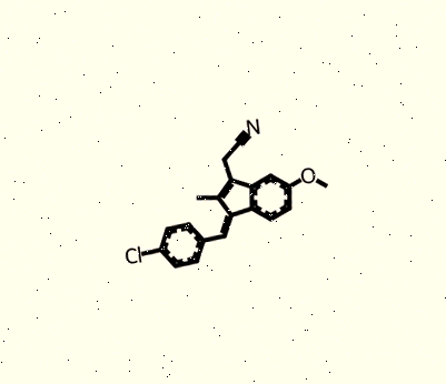 COc1ccc2c(c1)C(CC#N)=C(C)C2=Cc1ccc(Cl)cc1